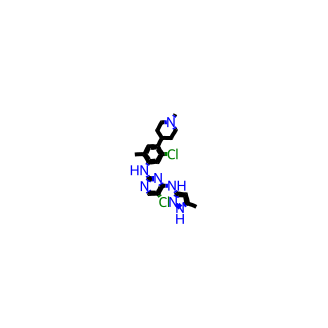 Cc1cc(Nc2nc(Nc3cc(Cl)c(C4CCN(C)CC4)cc3C)ncc2Cl)n[nH]1